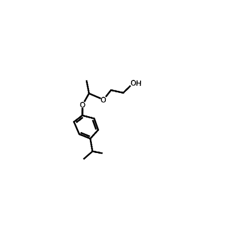 CC(OCCO)Oc1ccc(C(C)C)cc1